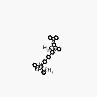 Cc1ccccc1-c1cc(-c2ccc(-c3ccc(-c4ccc(-n5c6ccccc6c6cc(-n7c8ccccc8c8ccccc87)ccc65)c(C)c4)cc3)cc2)nc(-c2ccccc2C)n1